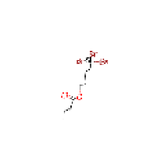 CC=CC(=O)OCCCC[Si](Br)(Br)Br